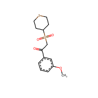 COc1cccc(C(=O)CS(=O)(=O)C2CCSCC2)c1